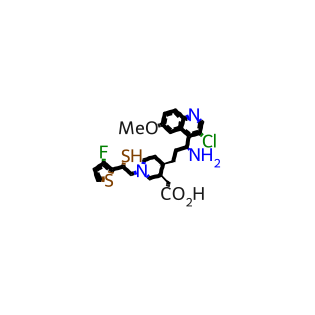 COc1ccc2ncc(Cl)c([C@@H](N)CC[C@@H]3CCN(CC(S)c4sccc4F)C[C@@H]3CC(=O)O)c2c1